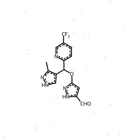 Cc1n[nH]cc1C(Oc1cc(C=O)[nH]n1)c1ccc(C(F)(F)F)cn1